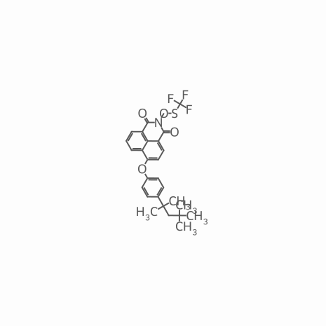 CC(C)(C)CC(C)(C)c1ccc(Oc2ccc3c4c(cccc24)C(=O)N(OSC(F)(F)F)C3=O)cc1